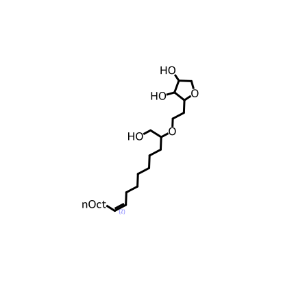 CCCCCCCC/C=C\CCCCCCC(CO)OCCC1OCC(O)C1O